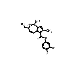 Cn1cc2c(c1C(=O)Nc1ccc(F)c(F)c1)C=CC(CO)NS2=N